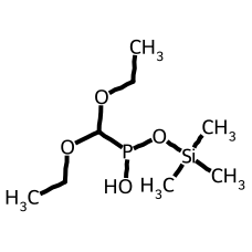 CCOC(OCC)P(O)O[Si](C)(C)C